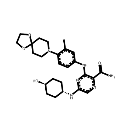 Cc1cc(Nc2nc(N[C@H]3CC[C@H](O)CC3)cnc2C(N)=O)ccc1N1CCC2(CC1)OCCO2